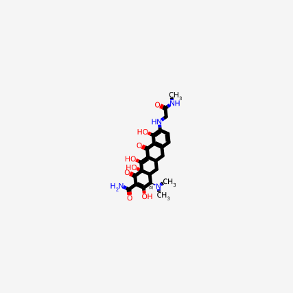 CNC(=O)CNc1ccc2c(c1O)C(=O)C1=C(O)C3(O)C(=O)C(C(N)=O)=C(O)[C@@H](N(C)C)C3CC1C2